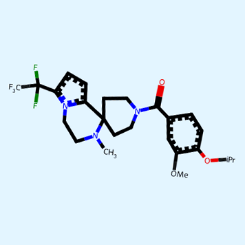 COc1cc(C(=O)N2CCC3(CC2)c2ccc(C(F)(F)C(F)(F)F)n2CCN3C)ccc1OC(C)C